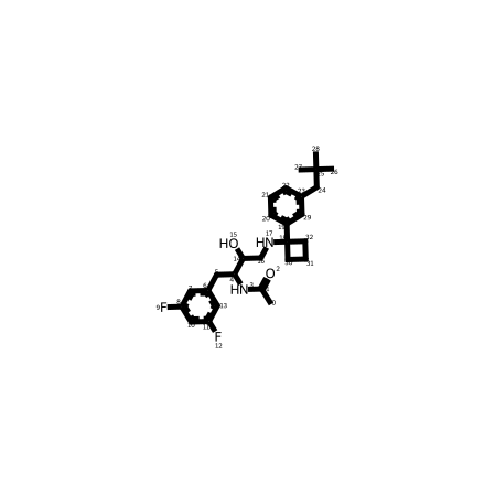 CC(=O)NC(Cc1cc(F)cc(F)c1)C(O)CNC1(c2cccc(CC(C)(C)C)c2)CCC1